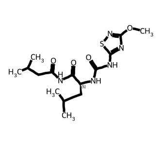 COc1nsc(NC(=O)N[C@@H](CC(C)C)C(=O)NC(=O)CC(C)C)n1